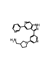 NCC1CCN(c2cncc(-c3n[nH]c4cnc(-c5cccnc5)cc34)c2)C1